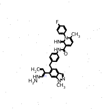 C=C/C(=C\NN)c1cc2c(cnn2C)cc1Cc1ccc(NC(=O)c2ccc(C)n(-c3ccc(F)cc3)c2=N)cc1